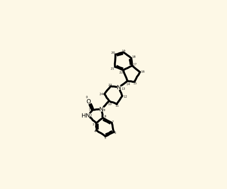 O=c1[nH]c2ccccc2n1C1CCN(C2CCc3ccccc32)CC1